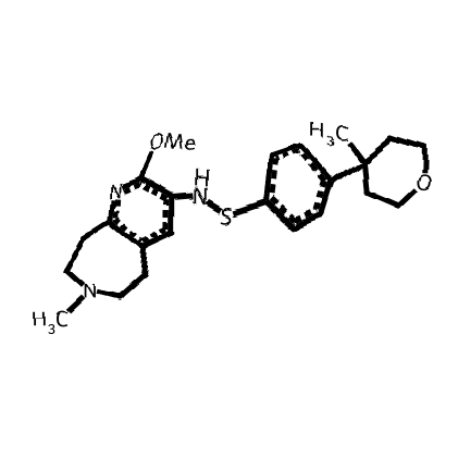 COc1nc2c(cc1NSc1ccc(C3(C)CCOCC3)cc1)CCN(C)CC2